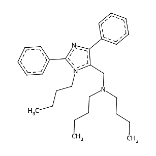 CCCCN(CCCC)Cc1c(-c2ccccc2)nc(-c2ccccc2)n1CCCC